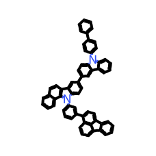 c1ccc(-c2ccc(-n3c4ccccc4c4cc(-c5ccc6c(c5)c5ccc7ccccc7c5n6-c5cccc(-c6ccc7c8c(cccc68)-c6ccccc6-7)c5)ccc43)cc2)cc1